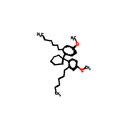 CCCCCCc1cc(OC)ccc1C1(c2ccc(OC)cc2CCCCCC)CCCCC1